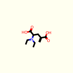 C=C(CC(C(=O)O)N(CC)CC)C(=O)O